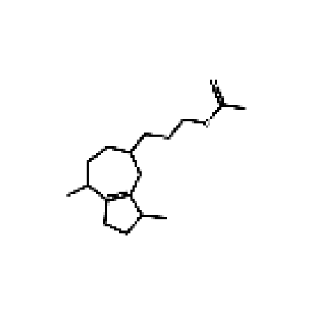 CC(=O)OCCCC1CCC(C)C2=C(C1)C(C)CC2